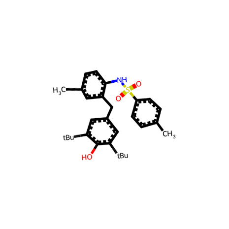 Cc1ccc(S(=O)(=O)Nc2ccc(C)cc2Cc2cc(C(C)(C)C)c(O)c(C(C)(C)C)c2)cc1